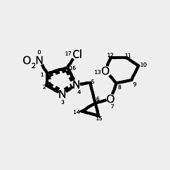 O=[N+]([O-])c1cnn(CC2(OC3CCCCO3)CC2)c1Cl